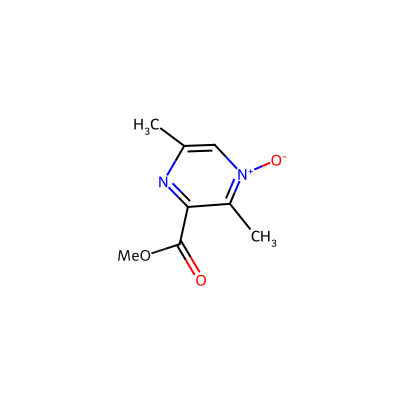 COC(=O)c1nc(C)c[n+]([O-])c1C